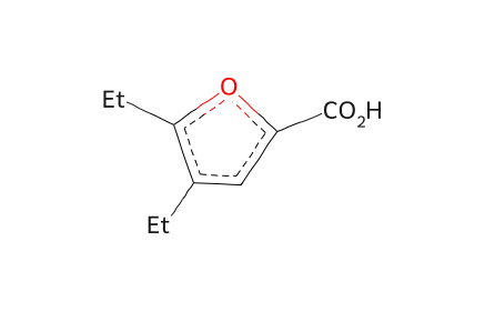 CCc1cc(C(=O)O)oc1CC